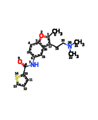 Cc1oc2ccc(NC(=O)c3cccs3)cc2c1CCN(C)C